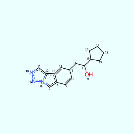 OC(CC1C=Cc2cn3nncc3c2=C1)C1CCCC1